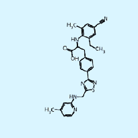 CCc1cc(C#N)cc(C)c1NC(Cc1ccc(-c2nsc(CNc3cc(C)ccn3)n2)cc1)C(=O)O